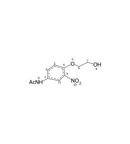 CC(=O)Nc1ccc(OCCO)c([N+](=O)[O-])c1